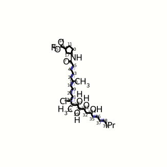 CC(/C=C/C=C/C(=O)NC1CCC(C(=O)OF)C1)=C\C=C\C=C(/Cl)C(C)C(O)C(O)C(O)CC(O)/C=C/C=C/C(C)C